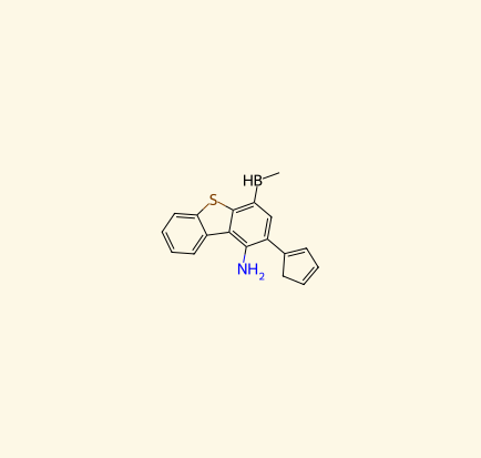 CBc1cc(C2=CC=CC2)c(N)c2c1sc1ccccc12